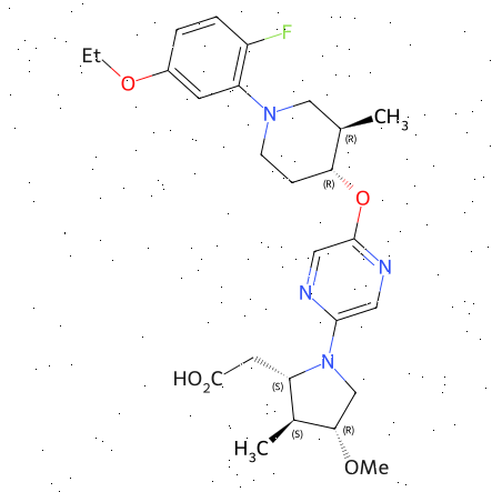 CCOc1ccc(F)c(N2CC[C@@H](Oc3cnc(N4C[C@H](OC)[C@@H](C)[C@@H]4CC(=O)O)cn3)[C@H](C)C2)c1